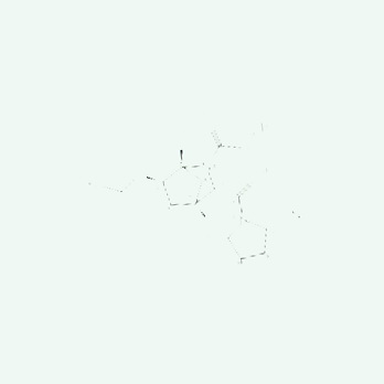 CC(=O)CO[C@@H]1C[C@@H]2C[C@H]1N(C(=O)OC(C)(C)C)[C@@H]2C(=O)N1CCC[C@H]1C#N